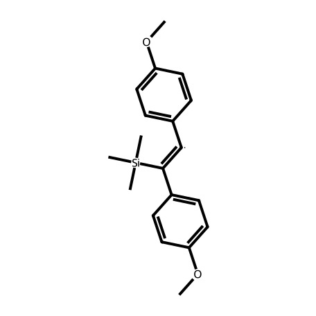 COc1ccc([C]=C(c2ccc(OC)cc2)[Si](C)(C)C)cc1